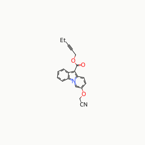 CCC#CCOC(=O)c1c2ccccc2n2cc(OCC#N)ccc12